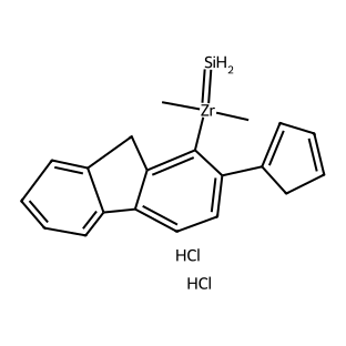 Cl.Cl.[CH3][Zr]([CH3])(=[SiH2])[c]1c(C2=CC=CC2)ccc2c1Cc1ccccc1-2